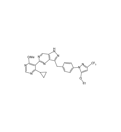 CCOc1cc(C(F)(F)F)nn1-c1ccc(Cc2n[nH]c3cnc(-c4c(OC)ncnc4C4CC4)nc23)cc1